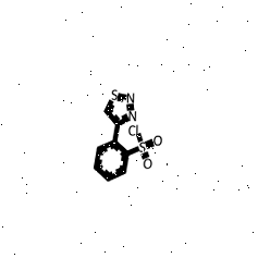 O=S(=O)(Cl)c1ccccc1-c1csnn1